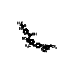 C=CC(=O)Nc1ccc(C2C(O)C2n2c(C#N)cc3c(C)c(CN4CCC(Nc5ncnc6sc(CC(F)(F)F)cc56)CC4)ccc32)nc1